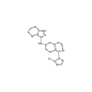 CCn1nccc1-c1nccc2cc(Nc3n[nH]c4cccnc34)ccc12